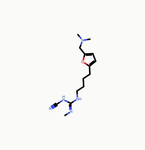 C/N=C(\NC#N)NCCCCc1ccc(CN(C)C)o1